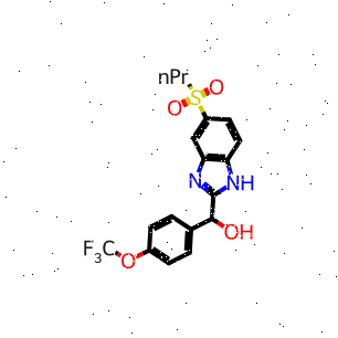 CCCS(=O)(=O)c1ccc2[nH]c(C(O)c3ccc(OC(F)(F)F)cc3)nc2c1